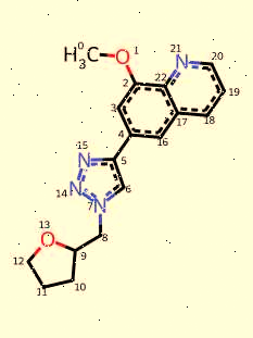 COc1cc(-c2cn(CC3CCCO3)nn2)cc2cccnc12